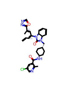 C=C/C=C(\C=C(/C)c1nnco1)N1C(=O)N(C[C@H]2CC[C@H](NC(=O)c3cc(Cl)cnc3C)CC2)C2C=CC=CC21